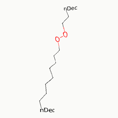 CCCCCCCCCCCCCCCCCCOOCCCCCCCCCCCC